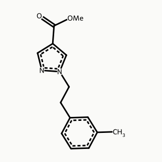 COC(=O)c1cnn(CCc2cccc(C)c2)c1